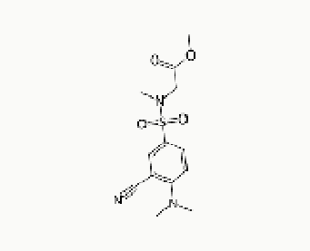 COC(=O)CN(C)S(=O)(=O)c1ccc(N(C)C)c(C#N)c1